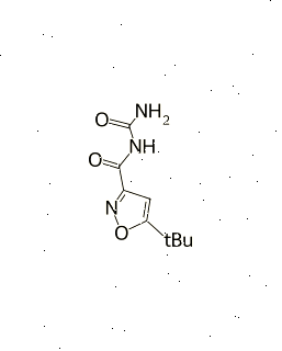 CC(C)(C)c1cc(C(=O)NC(N)=O)no1